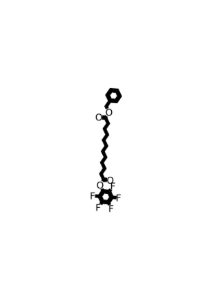 O=C(CCCCCCCCCCC(=O)Oc1c(F)c(F)c(F)c(F)c1F)OCc1ccccc1